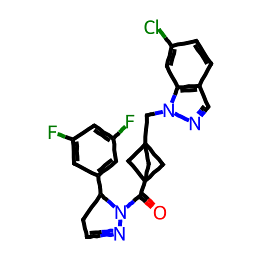 O=C(N1N=CCC1c1cc(F)cc(F)c1)C12CC(Cn3ncc4ccc(Cl)cc43)(C1)C2